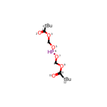 CC(C)(C)C(=O)OCOPOCOC(=O)C(C)(C)C